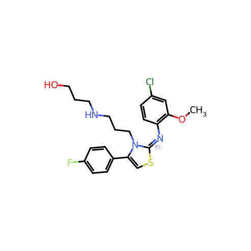 COc1cc(Cl)ccc1/N=c1/scc(-c2ccc(F)cc2)n1CCCNCCCO